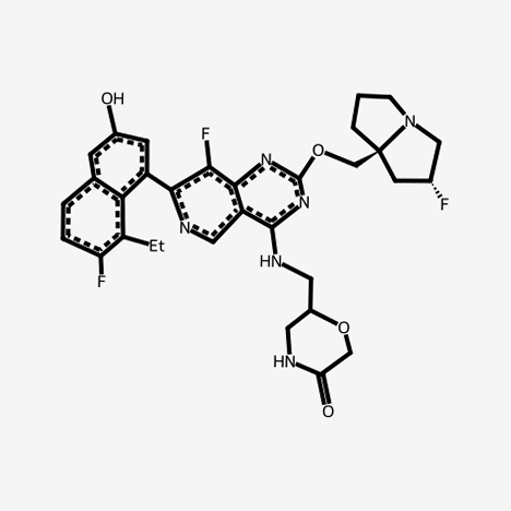 CCc1c(F)ccc2cc(O)cc(-c3ncc4c(NCC5CNC(=O)CO5)nc(OC[C@@]56CCCN5C[C@H](F)C6)nc4c3F)c12